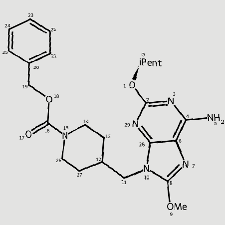 CCC[C@H](C)Oc1nc(N)c2nc(OC)n(CC3CCN(C(=O)OCc4ccccc4)CC3)c2n1